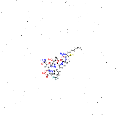 CCCCCC[C@](N)(CS)C(=O)N1CCC[C@H]1C(=O)N1CCC[C@H]1C(=O)N[C@H](C(=O)N[C@@H](CCC(N)=O)C(=O)N[C@@H](Cc1ccccc1C(F)(F)F)C(=O)O)[C@@H](C)O